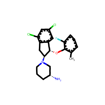 Cc1cccc(F)c1O[C@H]1c2cc(Cl)cc(Cl)c2C[C@@H]1N1CCC[C@@H](N)C1